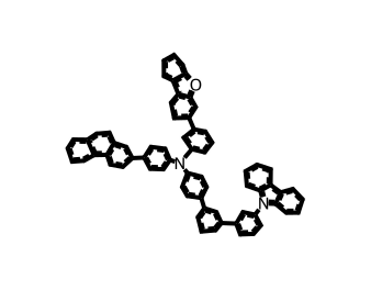 c1cc(-c2ccc(N(c3ccc(-c4ccc5c(ccc6ccccc65)c4)cc3)c3cccc(-c4ccc5c(c4)oc4ccccc45)c3)cc2)cc(-c2cccc(-n3c4ccccc4c4ccccc43)c2)c1